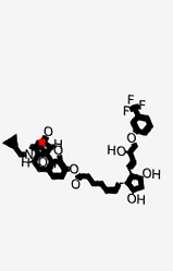 C[C@H]1CN(CC2CC2)[C@@H]2Cc3ccc(OC(=O)CCC/C=C\C[C@@H]4[C@@H](/C=C/[C@@H](O)COc5cccc(C(F)(F)F)c5)[C@H](O)C[C@@H]4O)c4c3C13[C@@H](O4)C(=O)CC[C@@]23O